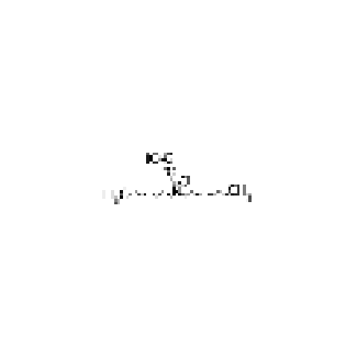 CCCCCCCCN(CCCCCCCC)C(=O)COCC(=O)O